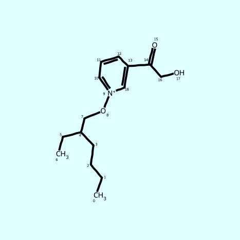 CCCCC(CC)CO[n+]1cccc(C(=O)CO)c1